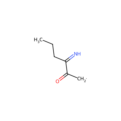 [CH2]C(=O)C(=N)CCC